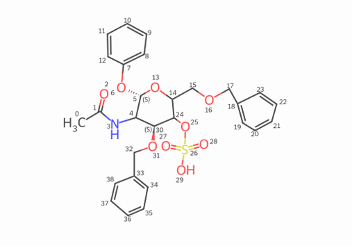 CC(=O)NC1[C@H](Oc2ccccc2)OC(COCc2ccccc2)C(OS(=O)(=O)O)[C@H]1OCc1ccccc1